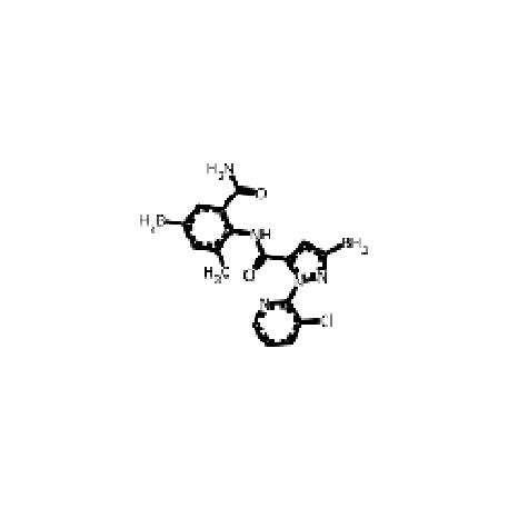 Bc1cc(C)c(NC(=O)c2cc(B)nn2-c2ncccc2Cl)c(C(N)=O)c1